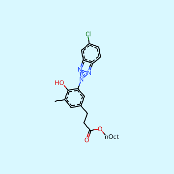 CCCCCCCCOC(=O)CCc1cc(C)c(O)c(-n2n3c4ccc(Cl)cc4n23)c1